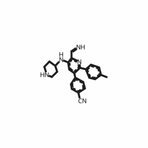 Cc1ccc(-c2nc(C=N)c(NC3CCNCC3)cc2-c2ccc(C#N)cc2)cc1